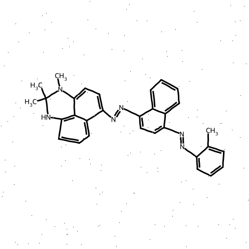 Cc1ccccc1N=Nc1ccc(N=Nc2ccc3c4c(cccc24)NC(C)(C)N3C)c2ccccc12